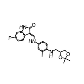 Cc1cc(N/C=C2/C(=O)Nc3cc(F)ccc32)ccc1NCC1COC(C)(C)O1